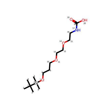 CC(C)(C)[Si](C)(C)OCCCOCCOCCNC(=O)O